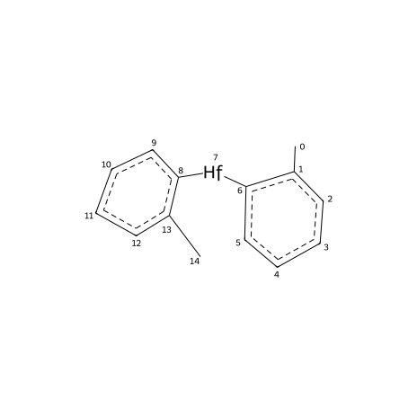 Cc1cccc[c]1[Hf][c]1ccccc1C